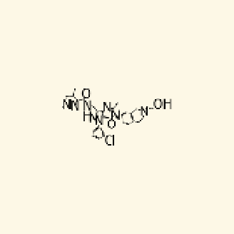 Cc1cn(C)nc1C(=O)NCc1nn(-c2cccc(Cl)c2)c2c(=O)n(-c3ccc4c(c3)CN(CCO)CC4)c(C)nc12